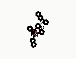 c1ccc(-c2nc(-c3ccc4ccccc4c3)nc(-c3cccc4oc5c(-n6c7ccccc7c7cc8ccccc8cc76)ccc(-c6ccccc6)c5c34)n2)cc1